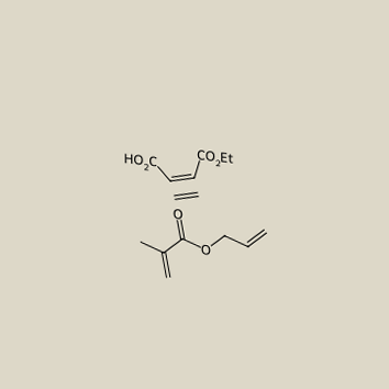 C=C.C=CCOC(=O)C(=C)C.CCOC(=O)/C=C\C(=O)O